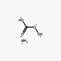 O=C(O)OO.[AlH3]